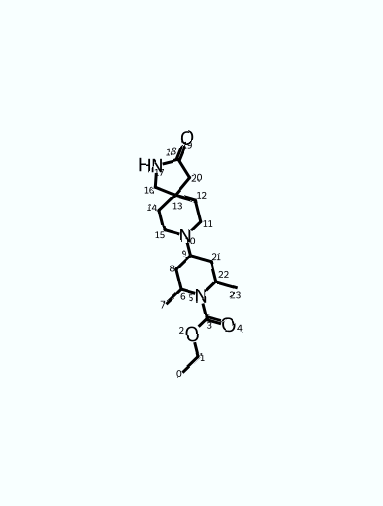 CCOC(=O)N1C(C)CC(N2CCC3(CC2)CNC(=O)C3)CC1C